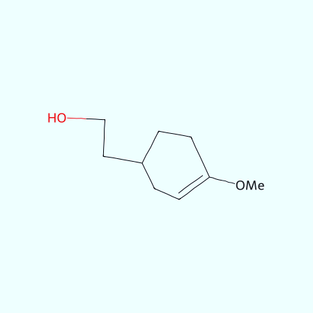 COC1=CCC(CCO)CC1